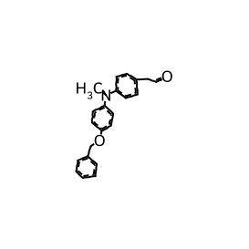 CN(c1ccc(CC=O)cc1)c1ccc(OCc2ccccc2)cc1